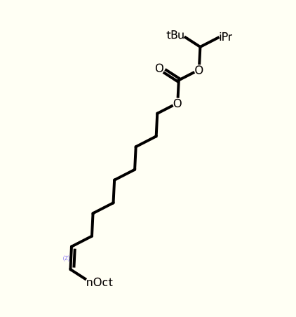 CCCCCCCC/C=C\CCCCCCCCOC(=O)OC(C(C)C)C(C)(C)C